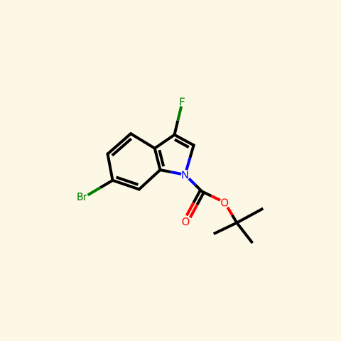 CC(C)(C)OC(=O)n1cc(F)c2ccc(Br)cc21